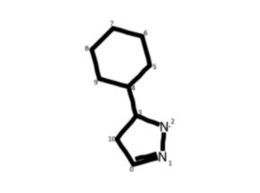 C1=N[N]C(C2CCCCC2)C1